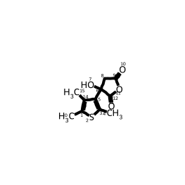 Cc1sc(C)c(C2(O)CC(=O)OC2=O)c1C